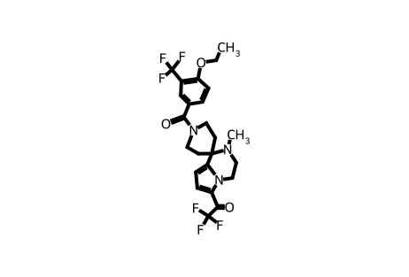 CCOc1ccc(C(=O)N2CCC3(CC2)c2ccc(C(=O)C(F)(F)F)n2CCN3C)cc1C(F)(F)F